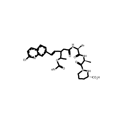 CCCC(=O)OC(C)C(/C=C/c1ccc2ccc(CC)nc2c1)CC(=O)N[C@H](C(=O)N[C@@H](C)C(=O)N1CCC[C@@H](C(=O)O)N1)C(C)C